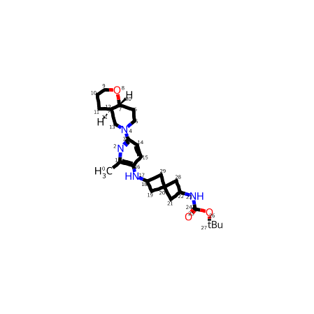 Cc1nc(N2CC[C@H]3OCCC[C@@H]3C2)ccc1NC1CC2(CC(NC(=O)OC(C)(C)C)C2)C1